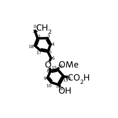 C=Cc1ccc(COc2ccc(O)c(C(=O)O)c2OC)cc1